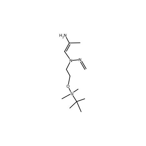 C=NN(/C=C(\C)N)CCO[Si](C)(C)C(C)(C)C